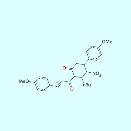 CCCCC1C(C(=O)/C=C/c2ccc(OC)cc2)C(=O)CC(c2ccc(OC)cc2)C1[N+](=O)[O-]